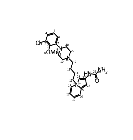 COc1c(Cl)cccc1N1CCN(CCCC[N+]23C=CC=CC2=CC(NC(N)=O)=C3)CC1